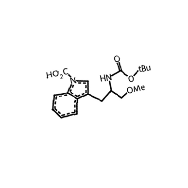 COCC(Cc1cn(C(=O)O)c2ccccc12)NC(=O)OC(C)(C)C